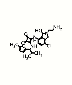 Cc1ccc([C@H](Nc2c(Nc3ccc(Cl)c4c3C(O)N(CCN)C4)c(=O)c2=O)C(C)C)o1